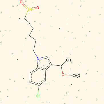 CC(OC=O)c1cn(CCCCC[SH](=O)=O)c2ccc(Cl)cc12